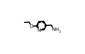 CCOc1ccc(CN)cn1